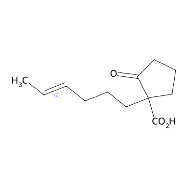 C/C=C/CCCC1(C(=O)O)CCCC1=O